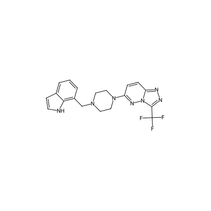 FC(F)(F)c1nnc2ccc(N3CCN(Cc4cccc5cc[nH]c45)CC3)nn12